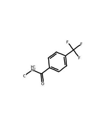 [CH2-][NH2+]C(=O)c1ccc(C(F)(F)F)cc1